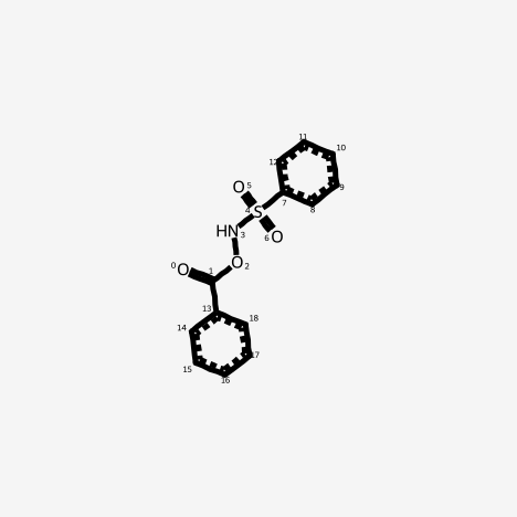 O=C(ONS(=O)(=O)c1ccccc1)c1ccccc1